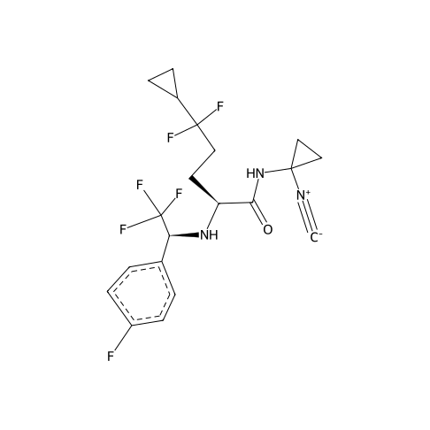 [C-]#[N+]C1(NC(=O)[C@H](CCC(F)(F)C2CC2)N[C@@H](c2ccc(F)cc2)C(F)(F)F)CC1